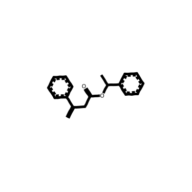 C=C(CC(=O)OC(C)c1ccccc1)c1ccccc1